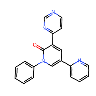 O=c1c(-c2ccncn2)cc(-c2ccccn2)cn1-c1ccccc1